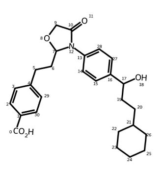 O=C(O)c1ccc(CCC2OCC(=O)N2c2ccc(C(O)CCC3CCCCC3)cc2)cc1